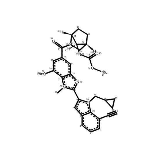 C#Cc1cccc2cc(-c3nc4cc(C(=O)N5C[C@H]6CC[C@@H]5[C@@H]6NC(=O)OC(C)(C)C)cc(OC)c4n3C)n(CC3CC3)c12